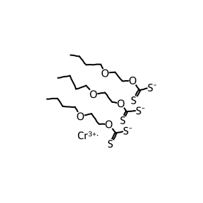 CCCCOCCOC(=S)[S-].CCCCOCCOC(=S)[S-].CCCCOCCOC(=S)[S-].[Cr+3]